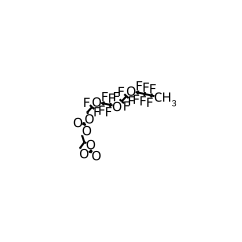 CC(F)(F)C(F)(F)C(F)(F)OC(F)(F)C(F)(F)OC(F)(F)C(F)(F)OC(F)(F)COC(=O)OCC1COC(=O)O1